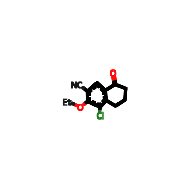 CCOc1c(C#N)cc2c(c1Cl)CCCC2=O